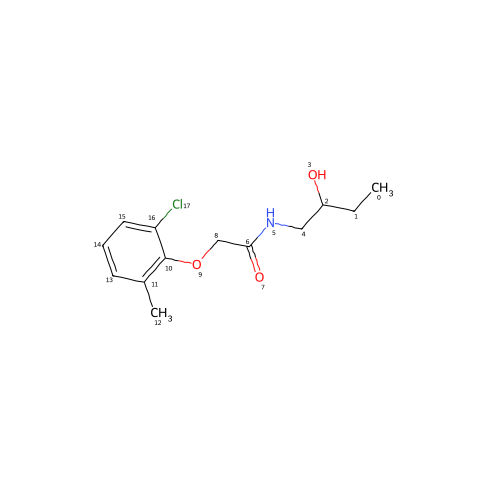 CCC(O)CNC(=O)COc1c(C)cccc1Cl